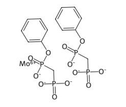 O=P([O-])([O-])CP(=O)([O-])Oc1ccccc1.O=P([O-])([O-])CP(=O)([O-])Oc1ccccc1.[Mo+6]